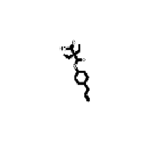 C=CCC1CCC(OC(=O)C(CC)(CC)C(=O)O)CC1